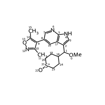 COC(c1c[nH]c2ncc(-c3c(C)noc3C)cc12)C1CC[S+]([O-])CC1